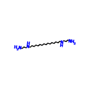 NCCCNCCCCCCCCCCCCCCCCNCCCN